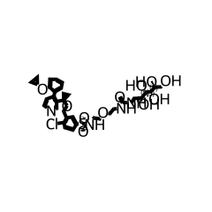 O=C(NCCOCCNS(=O)(=O)c1ccc(Cl)c(COC2(c3cnccc3-c3ccccc3OC3CC3)CC2)c1)NC[C@@H](O)[C@H](O)[C@@H](O)[C@@H](O)CO